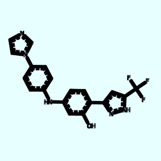 Oc1cc(Nc2ccc(-n3ccnc3)cc2)ccc1-c1cc(C(F)(F)F)[nH]n1